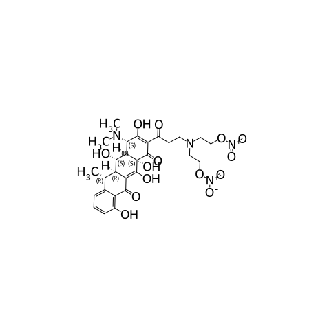 C[C@H]1c2cccc(O)c2C(=O)C2=C(O)[C@]3(O)C(=O)C(C(=O)CCN(CCO[N+](=O)[O-])CCO[N+](=O)[O-])=C(O)[C@@H](N(C)C)[C@@H]3[C@@H](O)[C@@H]21